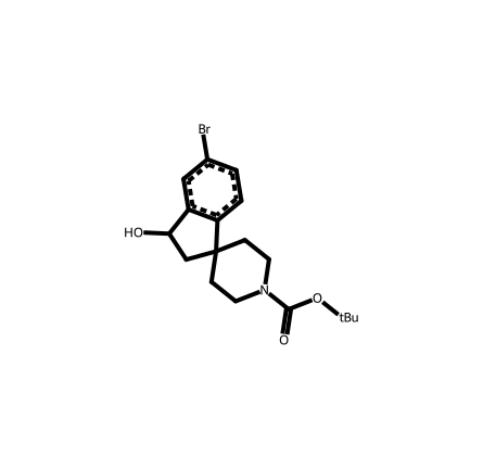 CC(C)(C)OC(=O)N1CCC2(CC1)CC(O)c1cc(Br)ccc12